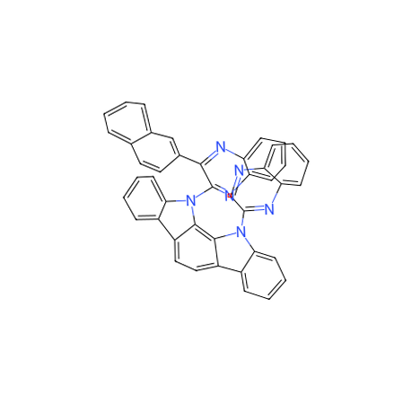 c1ccc2cc(-c3nc4ccccc4nc3-n3c4ccccc4c4ccc5c6ccccc6n(-c6cnc7ccccc7n6)c5c43)ccc2c1